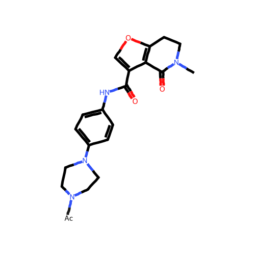 CC(=O)N1CCN(c2ccc(NC(=O)c3coc4c3C(=O)N(C)CC4)cc2)CC1